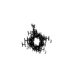 CCC(C)CCCCC(=O)NCC[C@@H]1NC(=O)[C@H](CC(C)C)NC(=O)[C@H](CCN)NC(=O)[C@H](CC(C)C)NC(=O)[C@H](CCN)NC(=O)[C@H](CCN)NC(=O)[C@H](CCN)NC(=O)[C@H]([C@@H](C)O)NC1=O